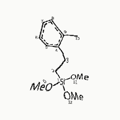 CO[Si](CCc1ccccc1C)(OC)OC